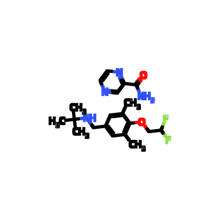 Cc1cc(CNC(C)(C)C)cc(C)c1OCC(F)F.NC(=O)c1cnccn1